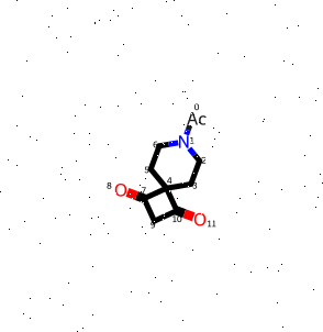 CC(=O)N1CCC2(CC1)C(=O)CC2=O